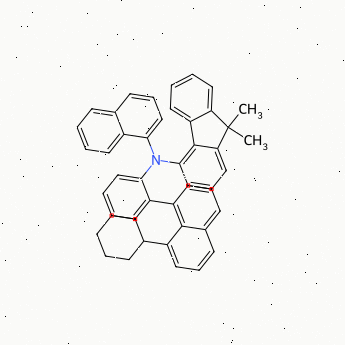 CC1(C)c2ccccc2-c2c(N(c3ccccc3-c3cccc4cccc(C5CCCCC5)c34)c3cccc4ccccc34)cccc21